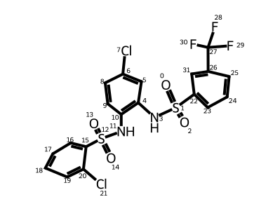 O=S(=O)(Nc1cc(Cl)ccc1NS(=O)(=O)c1ccccc1Cl)c1cccc(C(F)(F)F)c1